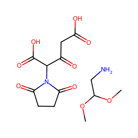 COC(CN)OC.O=C(O)CC(=O)C(C(=O)O)N1C(=O)CCC1=O